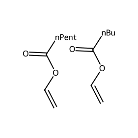 C=COC(=O)CCCC.C=COC(=O)CCCCC